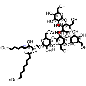 CCCCCCCCCCCCC/C=C/[C@@H](O)[C@H](CO[C@@H]1OC(CO)[C@@H](O[C@@H]2OC(CO)[C@H](O[C@@H]3OC(CO)[C@H](O)[C@H](O)C3NC(C)=O)[C@H](O[C@@H]3OC(CO)[C@@H](O[C@@H]4OC(CO)[C@H](O)[C@H](O)C4O)[C@H](O)C3NC(C)=O)C2O)[C@H](O)C1O)NC(=O)CCCCCCCCCCCCCCCCC